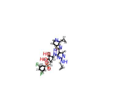 Cc1nc(NCC2CC2)nc(N[C@@H]2C[C@H](CS(=O)(=O)c3cc(F)cc(F)c3)[C@@H](O)[C@H]2O)c1-c1nc2c(C3CC3)nccc2s1